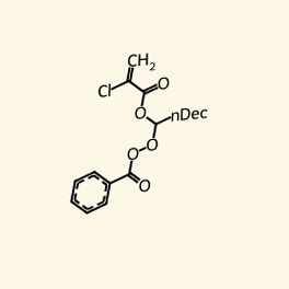 C=C(Cl)C(=O)OC(CCCCCCCCCC)OOC(=O)c1ccccc1